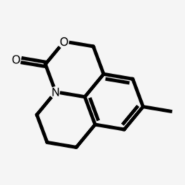 Cc1cc2c3c(c1)COC(=O)N3CCC2